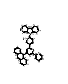 C1=C(c2cc(-c3c4ccccc4cc4ccccc34)cc(-c3ccccn3)n2)CNC(n2c3ccccc3c3ccncc32)=C1